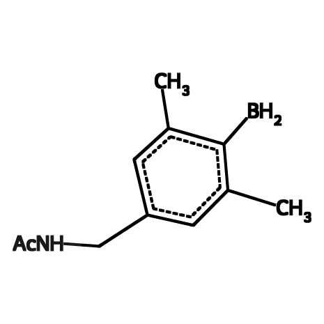 Bc1c(C)cc(CNC(C)=O)cc1C